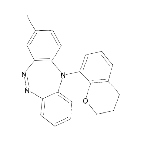 Cc1ccc2c(c1)N=Nc1ccccc1N2c1cccc2c1OCCC2